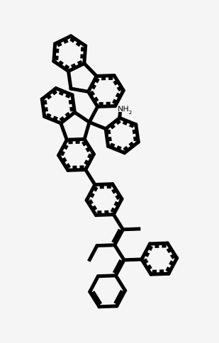 CCC(=C(/C)c1ccc(-c2ccc3c(c2)C(c2ccccc2N)(c2cccc4c2Cc2ccccc2-4)c2ccccc2-3)cc1)/C(=C1/C=CC=CC1)c1ccccc1